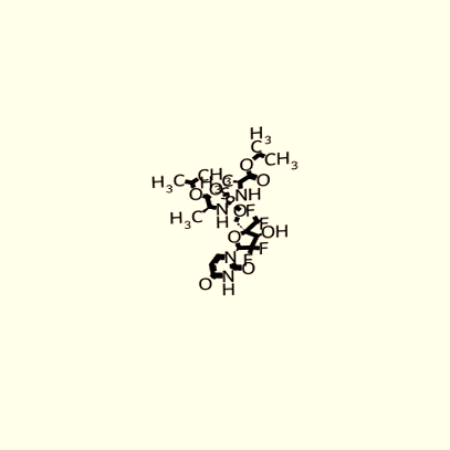 CC(C)OC(=O)[C@H](C)NP(=S)(N[C@@H](C)C(=O)OC(C)C)OC[C@@]1(C(F)F)O[C@@H](n2ccc(=O)[nH]c2=O)C(F)(F)[C@@H]1O